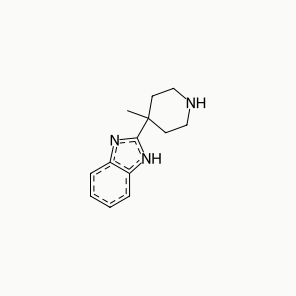 CC1(c2nc3ccccc3[nH]2)CCNCC1